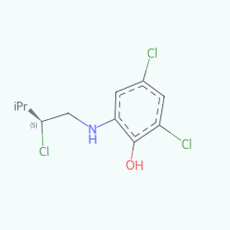 CC(C)[C@H](Cl)CNc1cc(Cl)cc(Cl)c1O